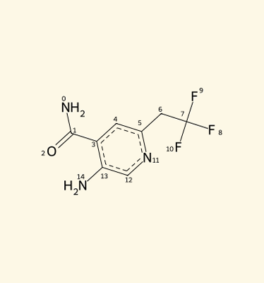 NC(=O)c1cc(CC(F)(F)F)ncc1N